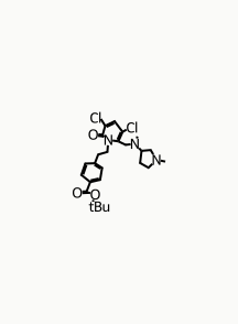 CN1CCC(N(C)Cc2c(Cl)cc(Cl)c(=O)n2CCc2ccc(C(=O)OC(C)(C)C)cc2)C1